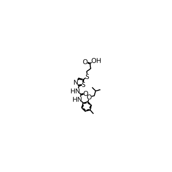 Cc1ccc(NC(=O)Nc2ncc(SCCC(=O)O)s2)c(OCC(C)C)c1